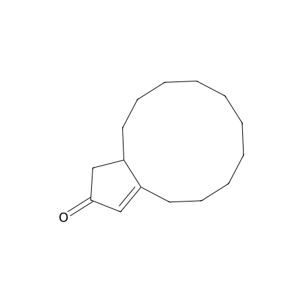 O=C1C=C2CCCCCCCCCCC2C1